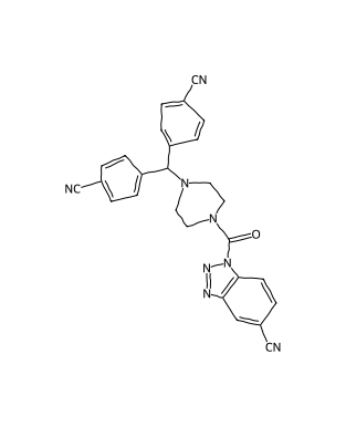 N#Cc1ccc(C(c2ccc(C#N)cc2)N2CCN(C(=O)n3nnc4cc(C#N)ccc43)CC2)cc1